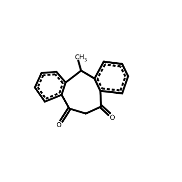 CC1c2ccccc2C(=O)CC(=O)c2ccccc21